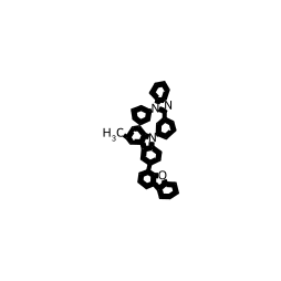 Cc1ccc2c(c1)c1cc(-c3cccc4c3oc3ccccc34)ccc1n2-c1cccc(-c2nc3ccccc3n2-c2ccccc2)c1